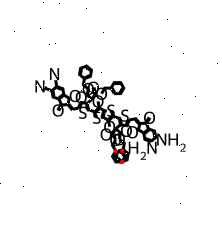 N#Cc1cc2c(cc1C#N)C(=O)C(=Cc1cc3c(s1)-c1sc4c5c(sc4c1OC3(C(=O)OCc1ccccc1)C(=O)OCc1ccccc1)-c1sc(C=C3C(=O)c4cc(N)c(N)cc4C3=O)cc1C(C(=O)OCc1ccccc1)(C(=O)OCc1ccccc1)O5)C2=O